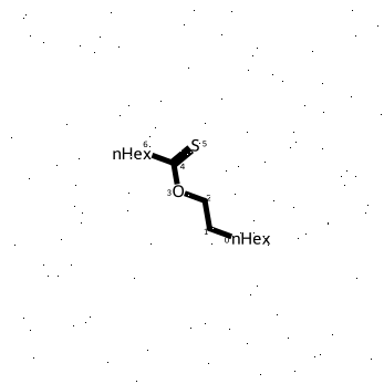 CCCCCCCCOC(=S)CCCCCC